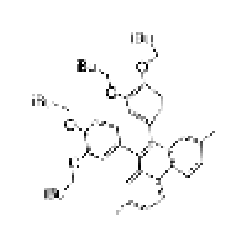 CCC(C)COc1ccc(-c2c(-c3ccc(OCC(C)CC)c(OCC(C)CC)c3)c3cc(C)ccc3c3ccc(C)cc23)cc1OCC(C)CC